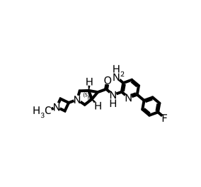 CN1CC(N2C[C@@H]3C(C(=O)Nc4nc(-c5ccc(F)cc5)ccc4N)[C@@H]3C2)C1